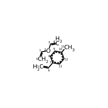 C=COC=C.C=Cc1ccc(C)cc1